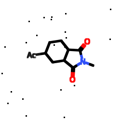 CC(=O)C1CCC2C(=O)N(C)C(=O)C2C1